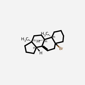 C[C@@]12CCC[C@H]1C1=CCC3(Br)CCCC[C@]3(C)[C@@H]1CC2